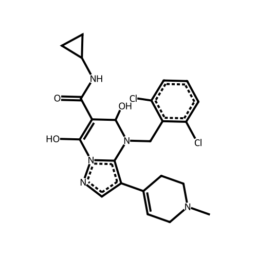 CN1CC=C(c2cnn3c2N(Cc2c(Cl)cccc2Cl)C(O)C(C(=O)NC2CC2)=C3O)CC1